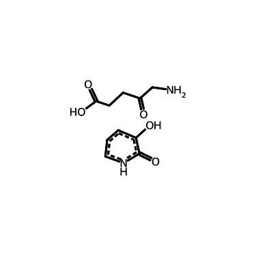 NCC(=O)CCC(=O)O.O=c1[nH]cccc1O